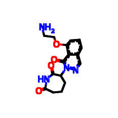 NCCOc1cccc2cnn(C3CCCC(=O)NC3=O)c(=O)c12